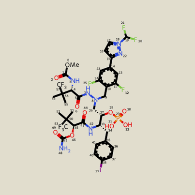 COC(=O)N[C@H](C(=O)NN(Cc1c(F)cc(-c2ccn(C(F)F)n2)cc1F)C[C@H](OP(=O)(O)O)[C@H](Cc1ccc(I)cc1)NC(=O)[C@@H](OC(N)=O)C(C)(C)C(F)(F)F)C(C)(C)C(F)(F)F